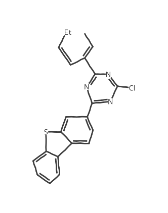 C/C=C(\C=C/CC)c1nc(Cl)nc(-c2ccc3c(c2)sc2ccccc23)n1